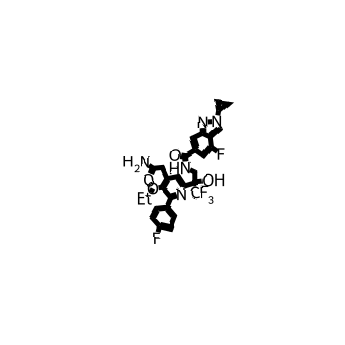 CCOc1c(CC(N)=O)cc([C@@](O)(CNC(=O)c2cc(F)c3cn(C4CC4)nc3c2)C(F)(F)F)nc1-c1ccc(F)cc1